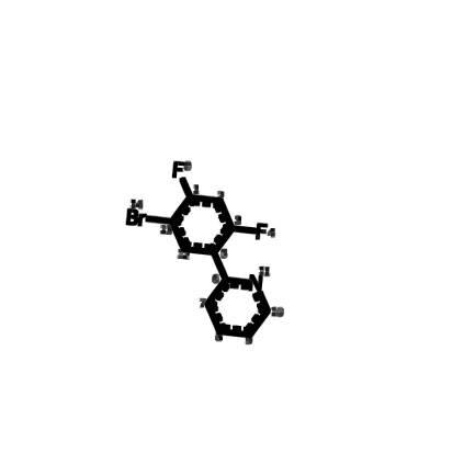 Fc1cc(F)c(-c2ccccn2)cc1Br